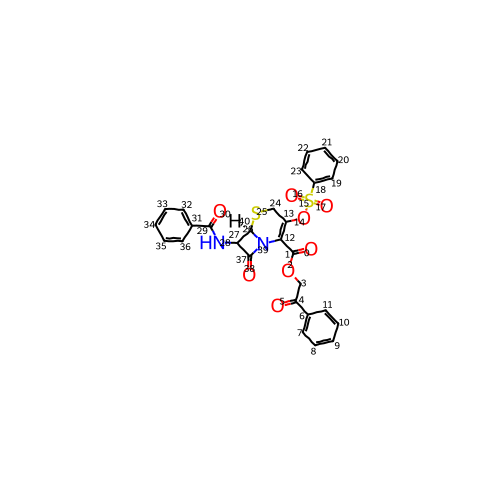 O=C(OCC(=O)c1ccccc1)C1=C(OS(=O)(=O)c2ccccc2)CS[C@@H]2C(NC(=O)c3ccccc3)C(=O)N12